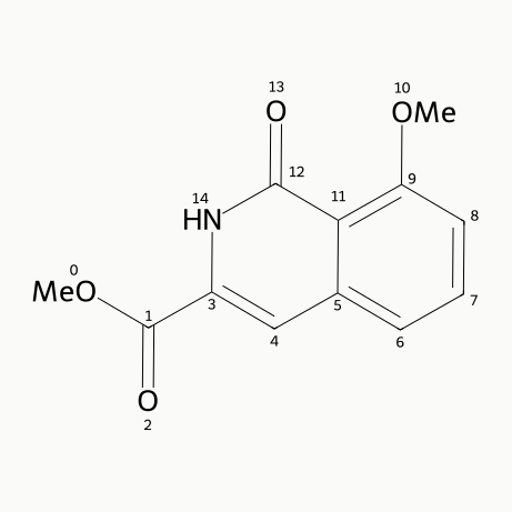 COC(=O)c1cc2cccc(OC)c2c(=O)[nH]1